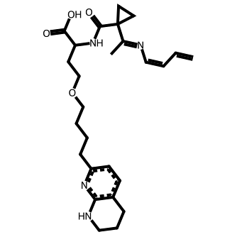 C=C/C=C\N=C(/C)C1(C(=O)NC(CCOCCCCc2ccc3c(n2)NCCC3)C(=O)O)CC1